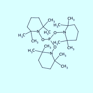 CC1(C)CCCC(C)(C)N1OP(ON1C(C)(C)CCCC1(C)C)ON1C(C)(C)CCCC1(C)C